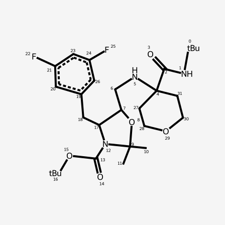 CC(C)(C)NC(=O)C1(NCC2OC(C)(C)N(C(=O)OC(C)(C)C)C2Cc2cc(F)cc(F)c2)CCOCC1